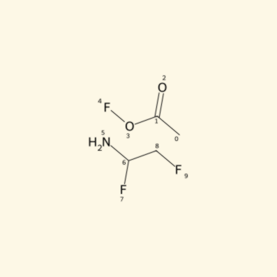 CC(=O)OF.NC(F)CF